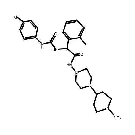 CN1CCC(N2CCN(NC(=O)C(NC(=O)Nc3ccc(Cl)cc3)c3ccccc3I)CC2)CC1